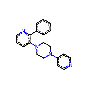 c1ccc(-c2ncccc2N2CCN(c3ccncc3)CC2)cc1